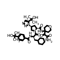 CC(C)(O)c1ccc(C(=O)N[C@H](CC2CCCCC2)C(=O)N2C[C@@H](n3nncc3C(C)(C)O)C[C@H]2C(=O)NC2(C(=O)C(N)=O)CCOCC2)cc1